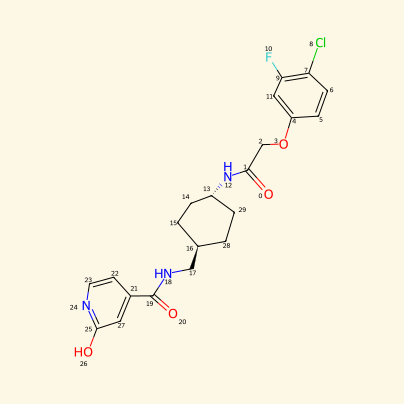 O=C(COc1ccc(Cl)c(F)c1)N[C@H]1CC[C@H](CNC(=O)c2ccnc(O)c2)CC1